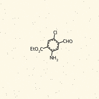 CCOC(=O)c1cc(Cl)c(C=O)cc1N